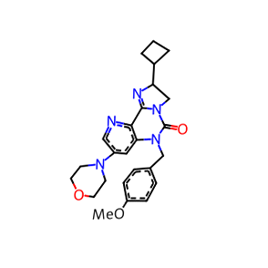 COc1ccc(CN2C(=O)N3CC(C4CCC4)N=C3c3ncc(N4CCOCC4)cc32)cc1